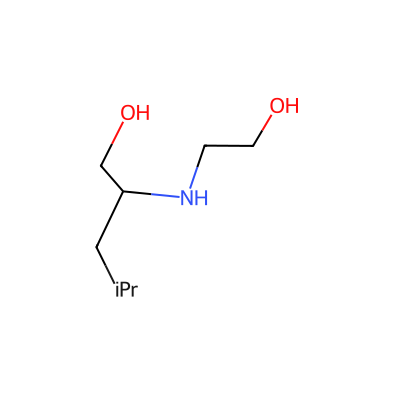 CC(C)CC(CO)NCCO